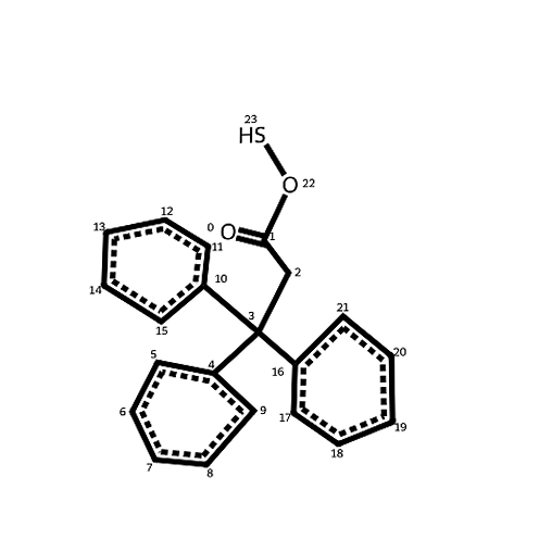 O=C(CC(c1ccccc1)(c1ccccc1)c1ccccc1)OS